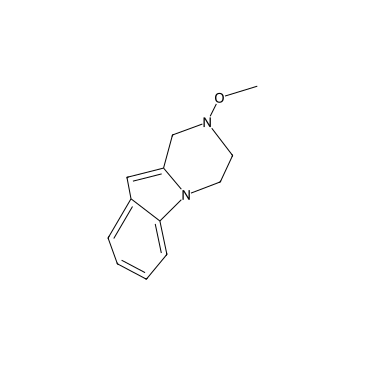 CON1CCn2c(cc3ccccc32)C1